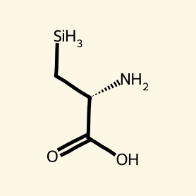 N[C@@H](C[SiH3])C(=O)O